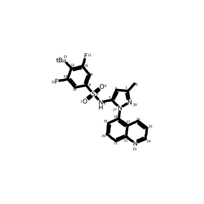 Cc1cc(NS(=O)(=O)c2cc(F)c(C(C)(C)C)c(F)c2)n(-c2cccc3ncccc23)n1